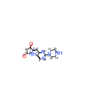 O=C1CC(=O)/C(=C/c2ccnc(N3CCNCC3)n2)N1